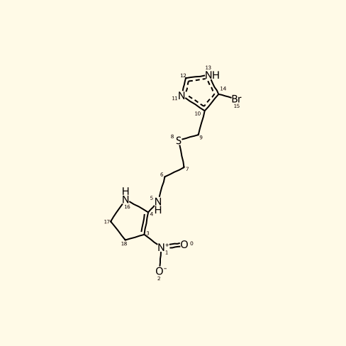 O=[N+]([O-])C1=C(NCCSCc2nc[nH]c2Br)NCC1